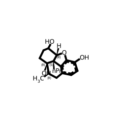 CCC[C@]12c3c4ccc(O)c3O[C@H]1C(O)CC[C@@]2(O)[C@H](C)C4